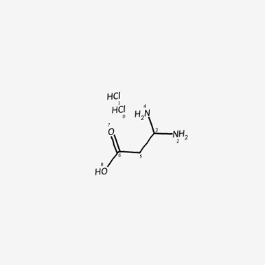 Cl.Cl.NC(N)CC(=O)O